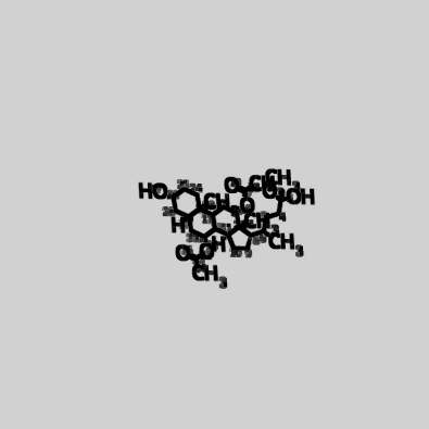 COC(O)CC[C@@H](C)[C@H]1CC[C@H]2C3C(C[C@H](OC(C)=O)[C@]12C)[C@@]1(C)CC[C@@H](O)C[C@H]1C[C@H]3OC(C)=O